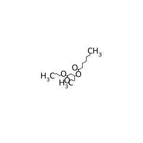 CCCCCCC(=O)OC(CC)CC(=O)OCCC